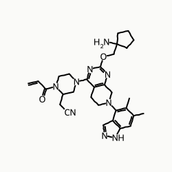 C=CC(=O)N1CCN(c2nc(OCC3(N)CCCC3)nc3c2CCN(c2c(C)c(C)cc4[nH]ncc24)C3)CC1CC#N